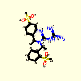 CC(c1ccc(S(C)(=O)=O)cc1)N(C(=N)NC(=N)N)C(C)c1ccccc1S(C)(=O)=O